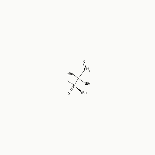 CC(C)(C)C([PH2]=S)(C(C)(C)C)[P@@](C)(=S)C(C)(C)C